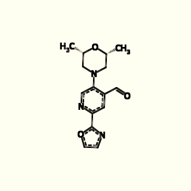 C[C@@H]1CN(c2cnc(-c3ncco3)cc2C=O)C[C@H](C)O1